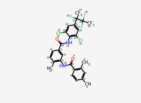 Cc1cc(C#N)ccc1C(=O)Nc1cc(C(=O)Nc2c(Cl)cc(C(F)(C(F)(F)F)C(F)(F)C(F)(F)F)cc2Cl)ccc1C#N